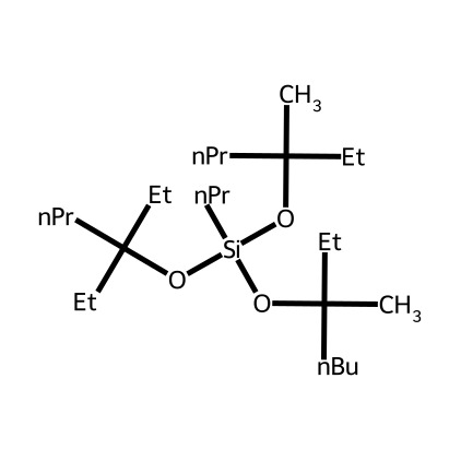 CCCCC(C)(CC)O[Si](CCC)(OC(C)(CC)CCC)OC(CC)(CC)CCC